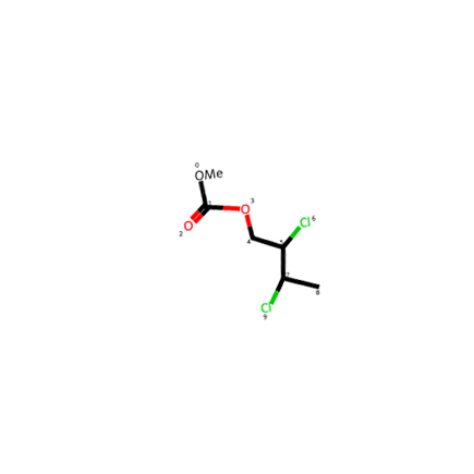 COC(=O)OCC(Cl)C(C)Cl